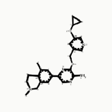 Cc1cc(-c2cnc(N)c(OCc3cncc(OC4CC4)c3)n2)cc2c1CCN(C)C2